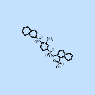 Nc1cc(S(=O)(=O)Nc2ccc3ccccc3c2S(=O)(=O)O)ccc1S(=O)(=O)c1ccc2ccccc2c1